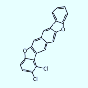 Clc1ccc2oc3cc4cc5c(cc4cc3c2c1Cl)oc1ccccc15